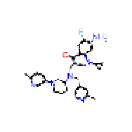 Cc1ccc(N2CCCC(N(Cc3ccnc(C)c3)Cc3cn(C4CC4)c4cc(N)c(F)cc4c3=O)C2)cn1